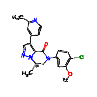 CCOc1cc(N2C[C@H](C)n3ncc(-c4ccnc(C)c4)c3C2=O)ccc1Cl